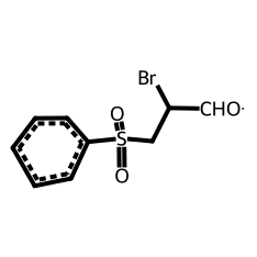 O=[C]C(Br)CS(=O)(=O)c1ccccc1